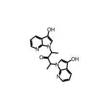 CC(C(=O)C(C)n1cc(O)c2cccnc21)n1cc(O)c2cccnc21